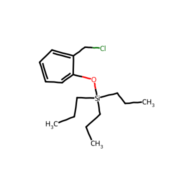 CCC[Si](CCC)(CCC)Oc1ccccc1CCl